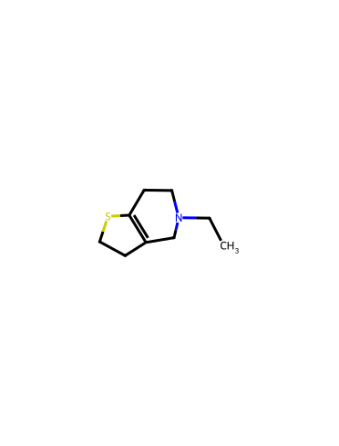 CCN1CCC2=C(CCS2)C1